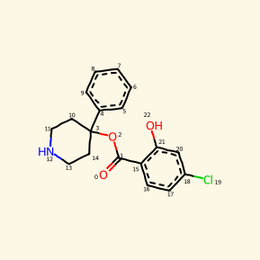 O=C(OC1(c2ccccc2)CCNCC1)c1ccc(Cl)cc1O